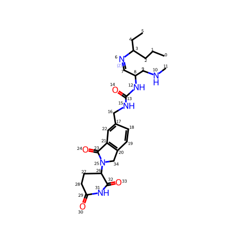 CCCC(CC)/N=C\C(CNC)NC(=O)NCc1ccc2c(c1)C(=O)N(C1CCC(=O)NC1=O)C2